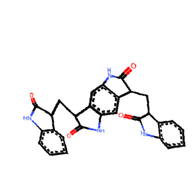 O=C1Nc2ccccc2C1CC1C(=O)Nc2cc3c(cc21)NC(=O)C3CC1C(=O)Nc2ccccc21